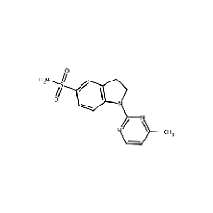 Cc1ccnc(N2CCc3cc(S(N)(=O)=O)ccc32)n1